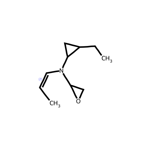 C/C=C\N(C1CO1)C1CC1CC